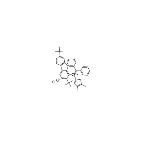 CC1=C(C)C[C]([Zr+2](=[C](c2ccccc2)c2ccccc2)[c]2c(C(C)(C)C)ccc3c2Cc2cc(C(C)(C)C)ccc2-3)=C1.[Cl-].[Cl-]